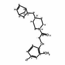 Cc1cc(F)ccc1OCC(=O)N1CCN(CC2CC3C=CC2C3)CC1